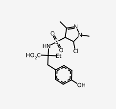 CCC(Cc1ccc(O)cc1)(NS(=O)(=O)C1C(C)=NN(C)C1Cl)C(=O)O